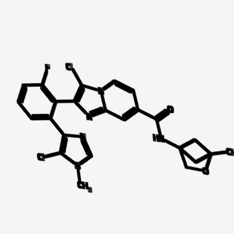 Cn1cnc(-c2cccc(F)c2-c2nc3cc(C(=O)NC45COC(C)(C4)C5)ccn3c2Cl)c1Cl